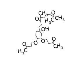 CC(=O)CCOC1CCC(O)(CCC2OC2(C)CCC2OC2(C)C)CC1OCCC(C)=O